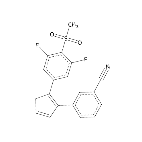 CS(=O)(=O)c1c(F)cc(C2=C(c3cccc(C#N)c3)C=CC2)cc1F